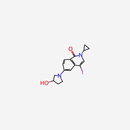 O=c1c2ccc(N3CCC(O)C3)cc2c(I)cn1C1CC1